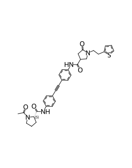 CC(=O)N1CCC[C@H]1C(=O)Nc1ccc(C#Cc2ccc(NC(=O)C3CC(=O)N(CCc4cccs4)C3)cc2)cc1